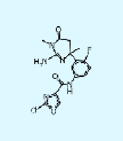 CN1C(=O)CC(C)(c2cc(NC(=O)c3coc(Cl)n3)ccc2F)N=C1N